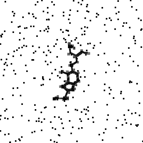 CCCNc1nc2ccc(OC/C(=C\F)CN)c(F)c2s1